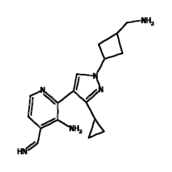 N=Cc1ccnc(-c2cn(C3CC(CN)C3)nc2C2CC2)c1N